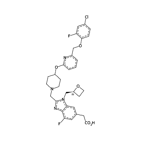 O=C(O)Cc1cc(F)c2nc(CN3CCC(Oc4cccc(COc5ccc(Cl)cc5F)n4)CC3)n(C[C@@H]3CCO3)c2c1